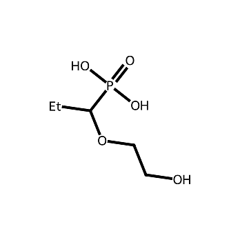 CCC(OCCO)P(=O)(O)O